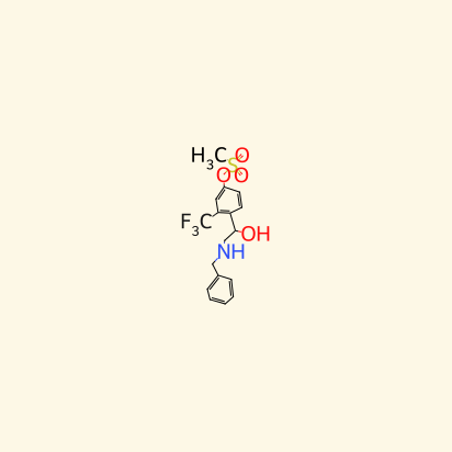 CS(=O)(=O)Oc1ccc(C(O)CNCc2ccccc2)c(C(F)(F)F)c1